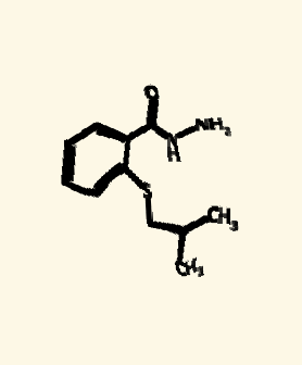 CC(C)CSc1ccccc1C(=O)NN